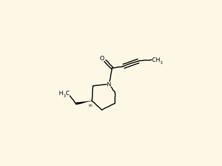 CC#CC(=O)N1CCC[C@@H](CC)C1